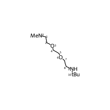 CNCCOCCOCCNC(C)(C)C